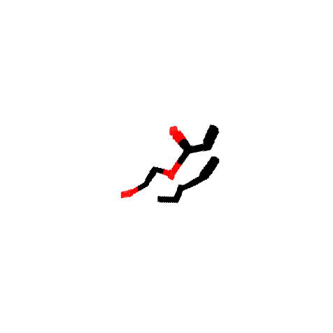 C=CC(=O)OCCO.C=CCCC